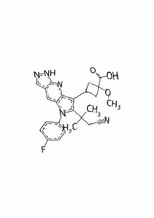 COC1(C(=O)O)CC(c2c(C(C)(C)CC#N)n(-c3ccc(F)cc3)c3cc4cn[nH]c4nc23)C1